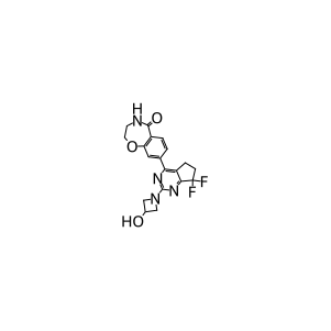 O=C1NCCOc2cc(-c3nc(N4CC(O)C4)nc4c3CCC4(F)F)ccc21